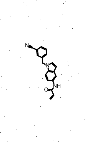 C=CC(=O)Nc1ccc2c(ccn2Cc2cccc(C#N)c2)c1